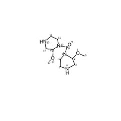 COC1CNCCN1C(=O)N1CCNCC1OC